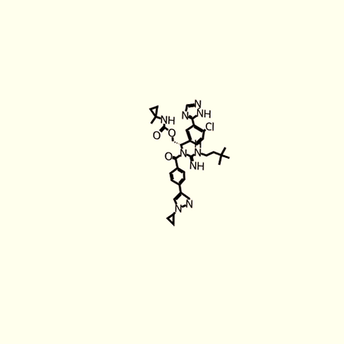 CC(C)(C)CCNC(=N)N(C(=O)c1ccc(-c2cnn(C3CC3)c2)cc1)[C@H](COC(=O)NC1(C)CC1)c1ccc(Cl)c(-c2ncn[nH]2)c1